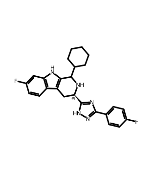 Fc1ccc(-c2n[nH]c([C@H]3Cc4c([nH]c5cc(F)ccc45)C(C4CCCCC4)N3)n2)cc1